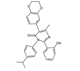 Cc1nc(-c2ccccc2O)n(-c2ccc(C(C)C)cc2)c(=O)c1-c1ccc2c(c1)OCCO2